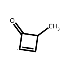 CC1C=[C]C1=O